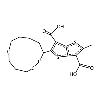 Cc1sc2c(C(=O)O)c(C3CCCCCCCCCC3)sc2c1C(=O)O